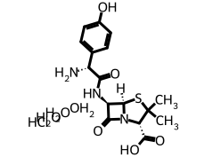 CC1(C)S[C@@H]2[C@H](NC(=O)[C@H](N)c3ccc(O)cc3)C(=O)N2[C@H]1C(=O)O.Cl.O.O.O